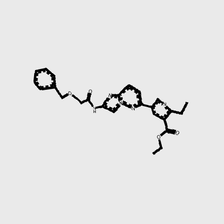 CCOC(=O)c1cc(-c2ccc3nc(NC(=O)COCc4ccccc4)cn3n2)cnc1CC